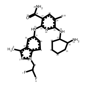 Cc1nn(CC(F)F)c2ccc(Nc3nc(NC4CCCCC4N)c(F)cc3C(N)=O)cc12